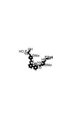 COc1cc(/C(F)=C/c2cccc(-c3cccc(NC(=O)c4cc(OC)c(CN[C@H](CO)C(=O)O)cn4)c3Cl)c2C)ccc1CN[C@H](CO)C(=O)O